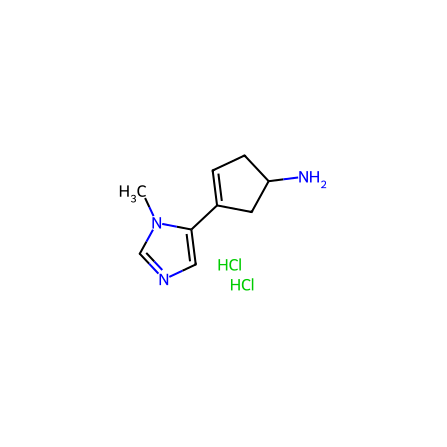 Cl.Cl.Cn1cncc1C1=CCC(N)C1